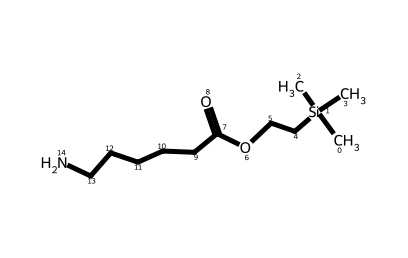 C[Si](C)(C)CCOC(=O)CCCCCN